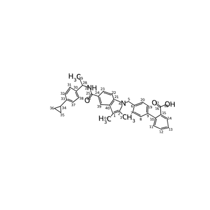 Cc1c(C)n(Cc2ccc(-c3ccccc3C(=O)O)cc2)c2ccc(C(=O)NC(C)c3ccc(C4CC4)cc3)cc12